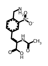 CC(=O)N/C(=C\c1ccc(CN)c([N+](=O)[O-])c1)C(=O)O